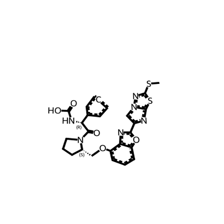 CSc1nn2cc(-c3nc4c(OC[C@@H]5CCCN5C(=O)[C@H](NC(=O)O)c5ccccc5)cccc4o3)nc2s1